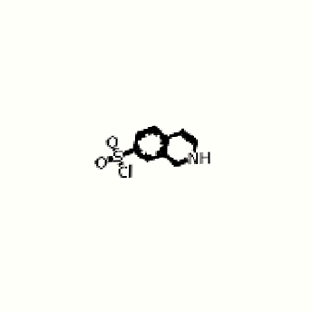 O=S(=O)(Cl)c1ccc2c(c1)CNC=C2